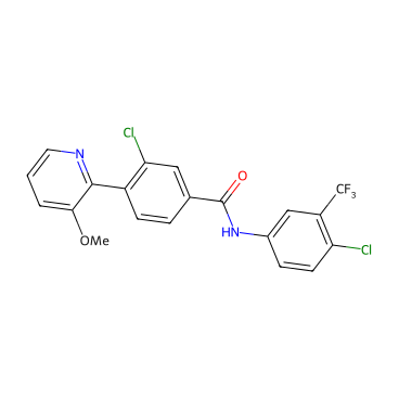 COc1cccnc1-c1ccc(C(=O)Nc2ccc(Cl)c(C(F)(F)F)c2)cc1Cl